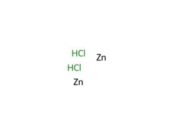 Cl.Cl.[Zn].[Zn]